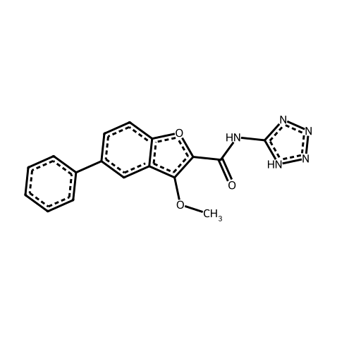 COc1c(C(=O)Nc2nnn[nH]2)oc2ccc(-c3ccccc3)cc12